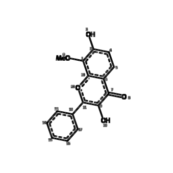 COc1c(O)ccc2c(=O)c(O)c(-c3ccccc3)oc12